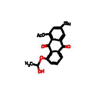 CC(=O)Oc1cc(C(C)(C)C)cc2c1C(=O)c1c(OC(C)O)cccc1C2=O